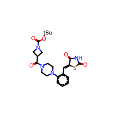 CC(C)(C)OC(=O)N1CC(C(=O)N2CCN(c3ccccc3/C=C3\SC(=O)NC3=O)CC2)C1